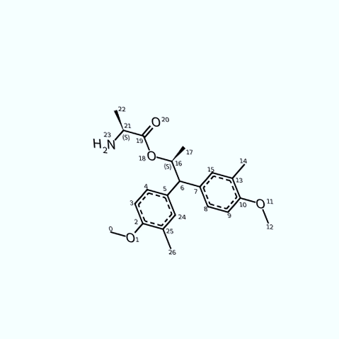 COc1ccc(C(c2ccc(OC)c(C)c2)[C@H](C)OC(=O)[C@H](C)N)cc1C